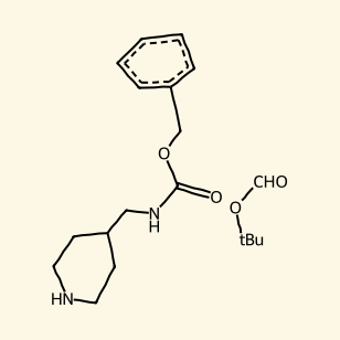 CC(C)(C)OC=O.O=C(NCC1CCNCC1)OCc1ccccc1